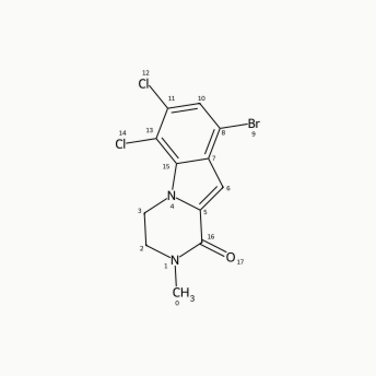 CN1CCn2c(cc3c(Br)cc(Cl)c(Cl)c32)C1=O